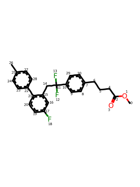 COC(=O)CCCc1ccc(C(F)(F)Cc2cc(F)ccc2-c2ccc(C)cc2)cc1